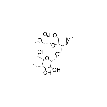 CC[C@@H]1C(CO)O[C@H](COC[C@@H](/C=N/C)C(CO)O[C@@H](C=O)COC)C(O)[C@H]1O